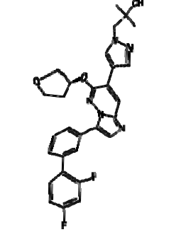 CC(C)(O)Cn1cc(-c2cc3ncc(-c4cccc(-c5ccc(F)cc5F)c4)n3nc2O[C@H]2CCOC2)cn1